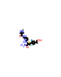 CC(CO)c1cc(F)c(-c2cc(C(N)=O)c(Nc3cccc(CNC(=O)c4cnn(C)c4)n3)s2)c(F)c1